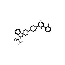 Cc1ccccc1-c1cncc(N2CCC(N3CCC4(CC3)CN(C(=O)N(C)C)c3ccccc34)CC2)n1